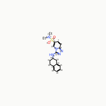 CCN(CC)S(=O)(=O)c1ccc2nnc(NC3CCc4ccccc4C3)n2c1